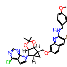 COc1ccc(CNc2nc3cc(OC[C@@]45C[C@@H]4[C@@H](n4ccc6c(Cl)ncnc64)[C@@H]4OC(C)(C)O[C@@H]45)ccc3cc2Br)cc1